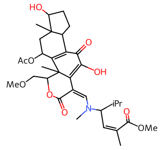 COCC1OC(=O)C(=CN(C)C(C=C(C)C(=O)OC)C(C)C)C2=C(O)C(=O)C3=C(C(OC(C)=O)CC4(C)C(O)CCC34)C21C